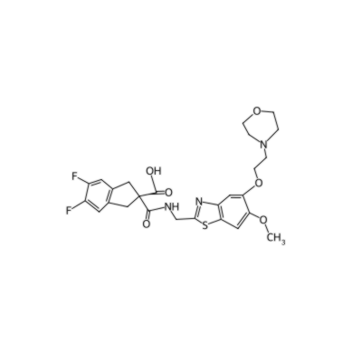 COc1cc2sc(CNC(=O)C3(C(=O)O)Cc4cc(F)c(F)cc4C3)nc2cc1OCCN1CCOCC1